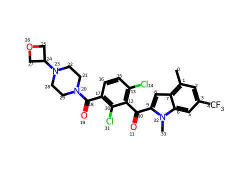 Cc1cc(C(F)(F)F)cc2c1cc(C(=O)c1c(Cl)ccc(C(=O)N3CCN(C4COC4)CC3)c1Cl)n2C